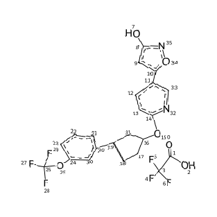 O=C(O)C(F)(F)F.Oc1cc(-c2ccc(OC3CCC(c4cccc(OC(F)(F)F)c4)C3)nc2)on1